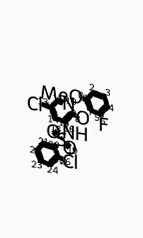 COc1cccc(F)c1Oc1ncc(Cl)cc1NS(=O)(=O)c1ccccc1Cl